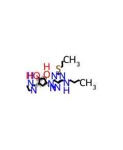 CCCCNc1nc(SCCC)nc2c1nnn2[C@@H]1C[C@H](C2=NCCN2)[C@@H](O)[C@H]1O